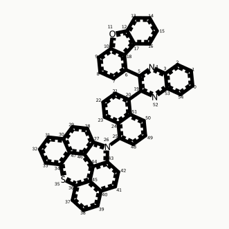 c1ccc2nc(-c3cccc4oc5ccccc5c34)c(-c3cccc4c(-n5c6ccc7cccc8sc9cccc%10ccc5c(c%109)c6c78)cccc34)nc2c1